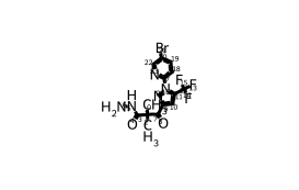 CC(C)(C(=O)NN)C(=O)c1cc(C(F)(F)F)n(-c2ccc(Br)cn2)n1